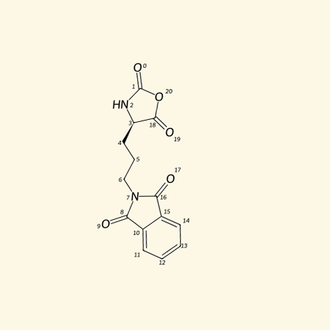 O=C1N[C@H](CCCN2C(=O)c3ccccc3C2=O)C(=O)O1